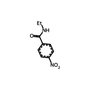 CCNC(=O)c1ccc([N+](=O)[O-])cc1